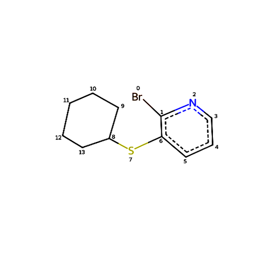 Brc1ncccc1SC1CCCCC1